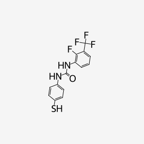 O=C(Nc1ccc(S)cc1)Nc1cccc(C(F)(F)F)c1F